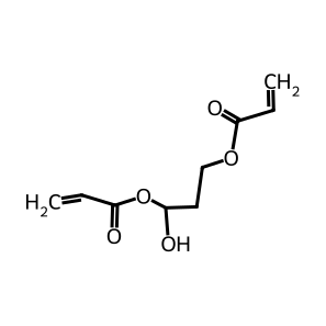 C=CC(=O)OCCC(O)OC(=O)C=C